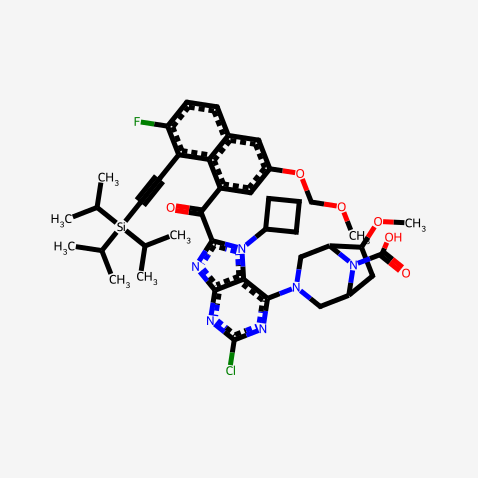 COCOc1cc(C(=O)c2nc3nc(Cl)nc(N4CC5CC(OC)C(C4)N5C(=O)O)c3n2C2CCC2)c2c(C#C[Si](C(C)C)(C(C)C)C(C)C)c(F)ccc2c1